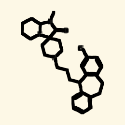 CN1C(=O)C2(CCN(CCCC3c4ccccc4CCc4ccc(Cl)cc43)CC2)N2CCCCC12